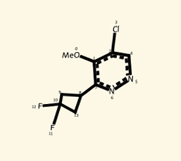 COc1c(Cl)cnnc1C1CC(F)(F)C1